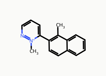 Cc1c(-c2cccn[n+]2C)ccc2ccccc12